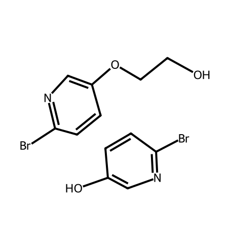 OCCOc1ccc(Br)nc1.Oc1ccc(Br)nc1